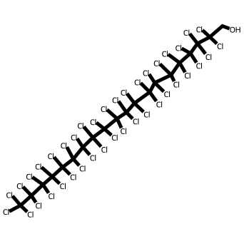 OCC(Cl)(Cl)C(Cl)(Cl)C(Cl)(Cl)C(Cl)(Cl)C(Cl)(Cl)C(Cl)(Cl)C(Cl)(Cl)C(Cl)(Cl)C(Cl)(Cl)C(Cl)(Cl)C(Cl)(Cl)C(Cl)(Cl)C(Cl)(Cl)C(Cl)(Cl)C(Cl)(Cl)C(Cl)(Cl)C(Cl)(Cl)C(Cl)(Cl)C(Cl)(Cl)Cl